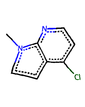 Cn1ccc2c(Cl)ccnc21